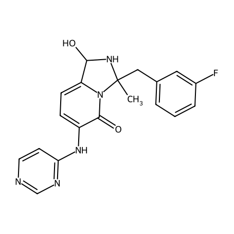 CC1(Cc2cccc(F)c2)NC(O)c2ccc(Nc3ccncn3)c(=O)n21